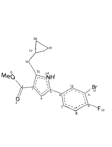 COC(=O)c1cc(-c2ccc(F)c(Br)c2)[nH]c1CC1CC1